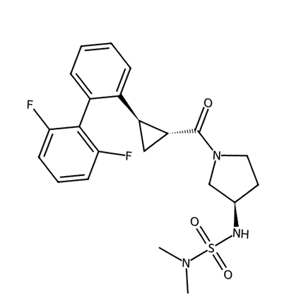 CN(C)S(=O)(=O)N[C@@H]1CCN(C(=O)[C@@H]2C[C@H]2c2ccccc2-c2c(F)cccc2F)C1